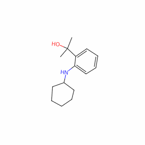 CC(C)(O)c1ccccc1NC1CCCCC1